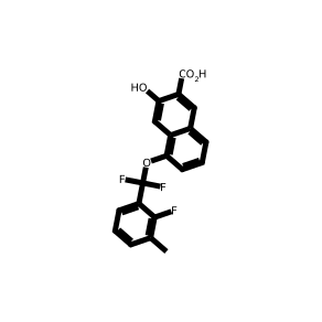 Cc1cccc(C(F)(F)Oc2cccc3cc(C(=O)O)c(O)cc23)c1F